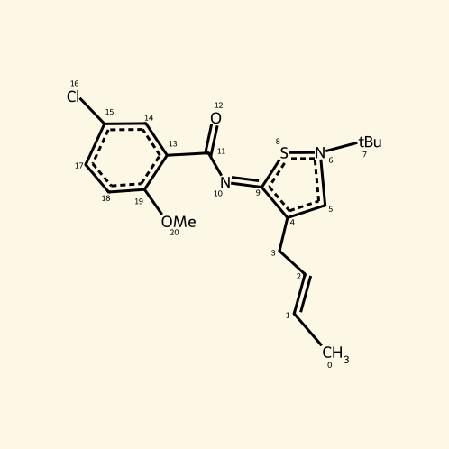 CC=CCc1cn(C(C)(C)C)sc1=NC(=O)c1cc(Cl)ccc1OC